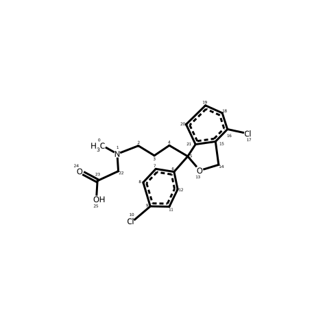 CN(CCCC1(c2ccc(Cl)cc2)OCc2c(Cl)cccc21)CC(=O)O